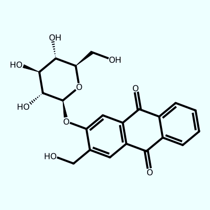 O=C1c2ccccc2C(=O)c2cc(O[C@@H]3O[C@H](CO)[C@@H](O)[C@H](O)[C@H]3O)c(CO)cc21